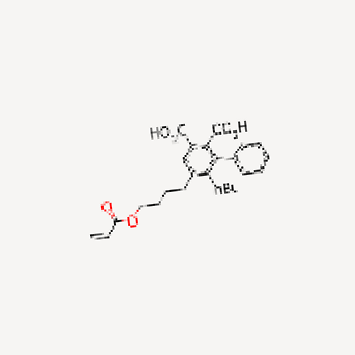 C=CC(=O)OCCCCc1cc(C(=O)O)c(C(=O)O)c(-c2ccccc2)c1CCCC